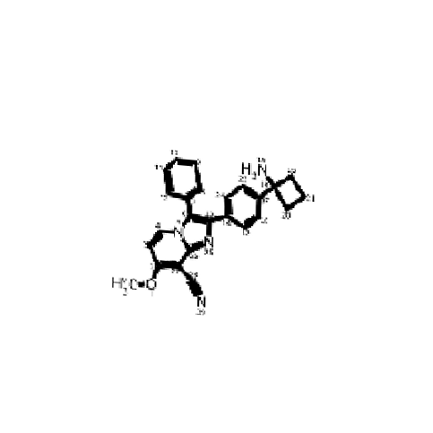 COc1ccn2c(-c3ccccc3)c(-c3ccc(C4(N)CCC4)cc3)nc2c1C#N